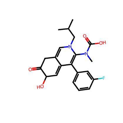 CC(C)CN1C=C2CC(=O)C(O)C=C2C(c2cccc(F)c2)=C1N(C)C(=O)O